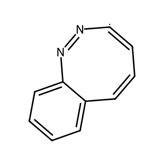 [C]1=C\C=C/c2ccccc2\N=N/1